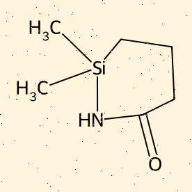 C[Si]1(C)CCCC(=O)N1